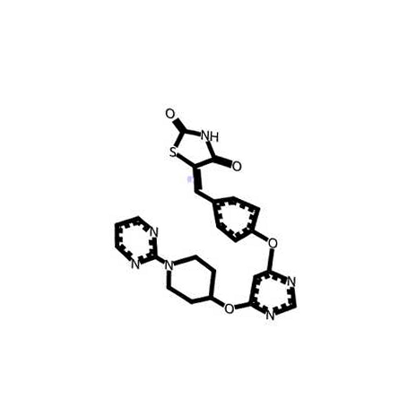 O=C1NC(=O)/C(=C\c2ccc(Oc3cc(OC4CCN(c5ncccn5)CC4)ncn3)cc2)S1